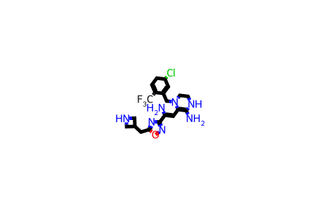 NC1=C(/C=C(\N)c2noc(CC3CNC3)n2)N(CC2=CC(Cl)CC=C2C(F)(F)F)CCN1